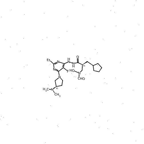 CCc1nc(NNC(=O)[C@@H](CC2CCCC2)CN(O)C=O)c(F)c(N2CC[C@@H](N(C)C)C2)n1